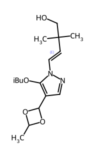 CC(C)COc1c(C2OC(C)O2)cnn1/C=C/C(C)(C)CO